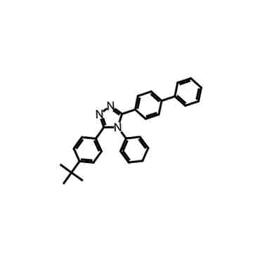 CC(C)(C)c1ccc(-c2nnc(-c3ccc(-c4ccccc4)cc3)n2C2=C=CCC=C2)cc1